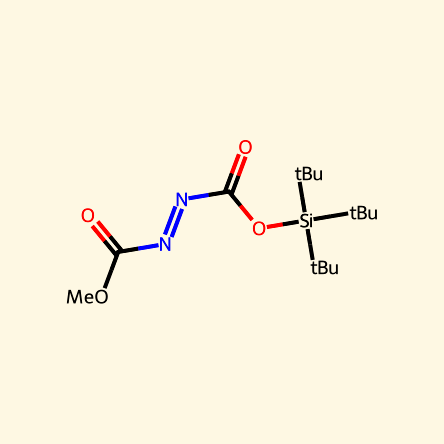 COC(=O)N=NC(=O)O[Si](C(C)(C)C)(C(C)(C)C)C(C)(C)C